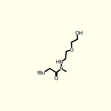 CN(NCCOCCO)C(=O)CC(C)(C)C